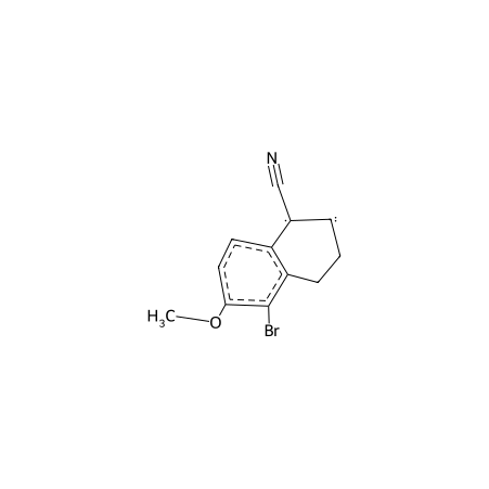 COc1ccc2c(c1Br)CC[C][C]2C#N